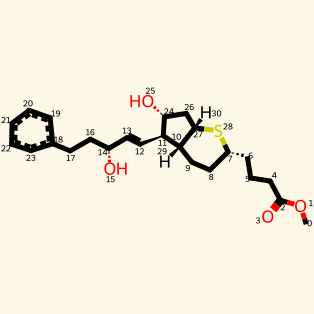 COC(=O)CCC[C@@H]1CC[C@@H]2[C@@H](/C=C/[C@H](O)CCc3ccccc3)[C@H](O)C[C@@H]2S1